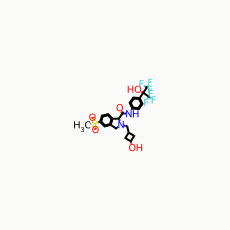 CS(=O)(=O)c1ccc2c(c1)CN(CC1CC(O)C1)C2C(=O)Nc1ccc(C(O)(C(F)(F)F)C(F)(F)F)cc1